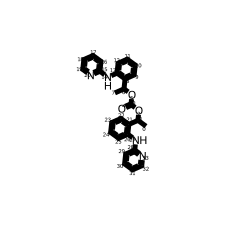 CC(OC(=O)OC(C)c1ccccc1Nc1ccccn1)c1ccccc1Nc1ccccn1